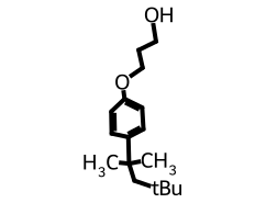 CC(C)(C)CC(C)(C)c1ccc(OCCCO)cc1